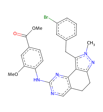 COC(=O)c1ccc(Nc2ncc3c(n2)-c2c(nn(C)c2Cc2cccc(Br)c2)CC3)c(OC)c1